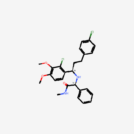 CNC(=O)[C@@H](N[C@H](CCc1ccc(Cl)cc1)c1ccc(OC)c(OC)c1Cl)c1ccccc1